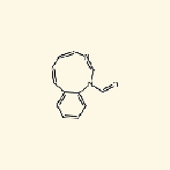 O=Cn1cnccccc2ccccc21